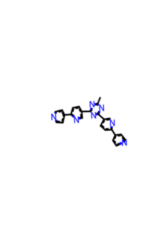 Cc1nc(-c2ccc(-c3ccncc3)nc2)nc(-c2ccc(-c3ccncc3)nc2)n1